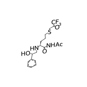 CC(=O)NC(=O)[C@H](CCCSCC(=O)C(F)(F)F)NCC(O)c1ccccc1